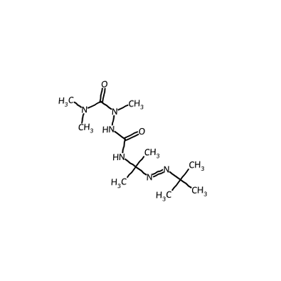 CN(C)C(=O)N(C)NC(=O)NC(C)(C)N=NC(C)(C)C